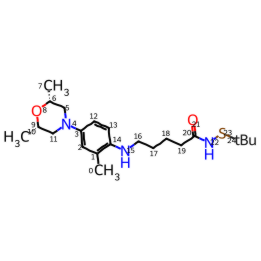 Cc1cc(N2C[C@@H](C)O[C@@H](C)C2)ccc1NCCCCC(=O)NSC(C)(C)C